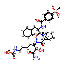 CS(=O)(=O)c1ccc(C(=O)N[C@H](CC2CCCCC2)C(=O)N2C3CCC(C3)[C@H]2C(=O)NC(CCCCNC(=O)O)C(O)C(N)=O)cc1